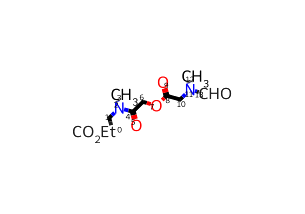 CCOC(=O)CN(C)C(=O)COC(=O)CN(C)C=O